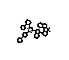 CC1(C)c2cccc(-c3ccc(-c4cc(-c5ccccc5-c5ccccc5)nc(-c5ccc(-c6ccccc6)cc5)n4)c4ccccc34)c2-c2c1ccc1ccccc21